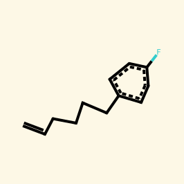 C=CCCCCc1ccc(F)cc1